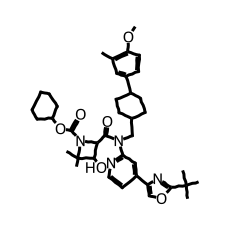 COc1ccc(C2CCC(CN(C(=O)C3C(O)C(C)(C)N3C(=O)OC3CCCCC3)c3cc(-c4coc(C(C)(C)C)n4)ccn3)CC2)cc1C